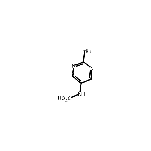 CC(C)(C)c1ncc(NC(=O)O)cn1